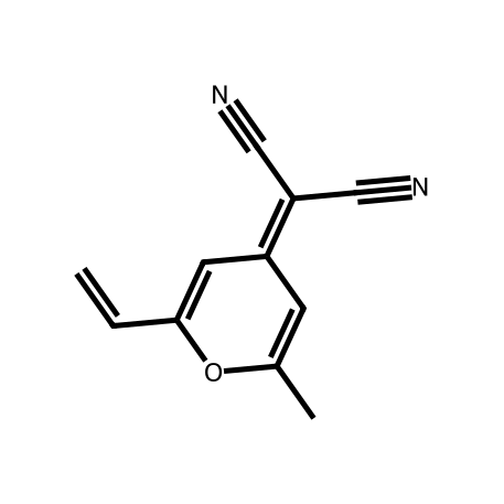 C=CC1=CC(=C(C#N)C#N)C=C(C)O1